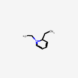 CCC1C=CC=CN1CC